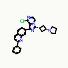 Clc1nccn2c1c(-c1ccc3ccc(-c4ccccc4)nc3c1)nc2[C@H]1C[C@@H](N2CCCC2)C1